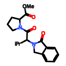 COC(=O)C1CCCN1C(=O)C(C(C)C)N1Cc2ccccc2C1=O